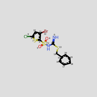 N=C(NS(=O)(=O)c1sc(Cl)cc1Br)SCc1ccccc1